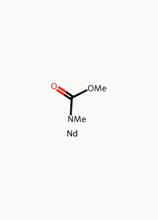 CNC(=O)OC.[Nd]